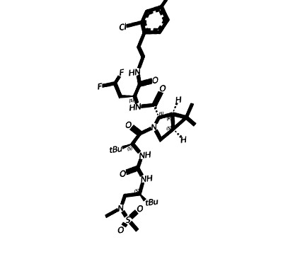 CN(C[C@@H](NC(=O)N[C@H](C(=O)N1C[C@H]2[C@@H]([C@H]1C(=O)N[C@@H](CC(F)F)C(=O)NCCc1ccc(Cl)cc1Cl)C2(C)C)C(C)(C)C)C(C)(C)C)S(C)(=O)=O